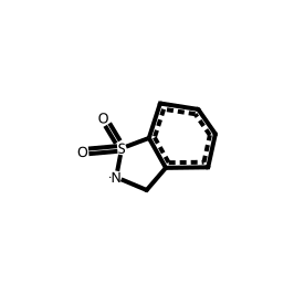 O=S1(=O)[N]Cc2ccccc21